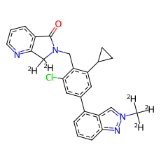 [2H]C1([2H])c2ncccc2C(=O)N1Cc1c(Cl)cc(-c2cccc3nn(C([2H])([2H])[2H])cc23)cc1C1CC1